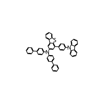 c1ccc(-c2ccc(N(c3ccc(-c4ccccc4)cc3)c3cc(-c4ccc(-n5c6ccccc6c6ccccc65)cc4)c4sc5ccccc5c4c3)cc2)cc1